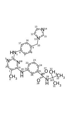 Cc1cnc(Nc2ccc(Cn3ccnc3)cc2)nc1Nc1cccc(S(=O)(=O)NC(C)(C)C)c1